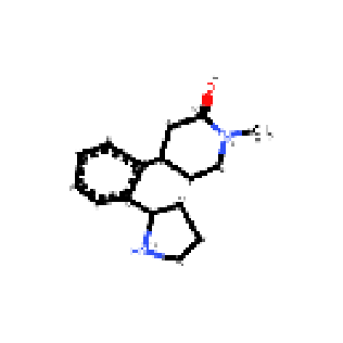 CN1CCC(c2ccccc2C2CCCN2)CC1=O